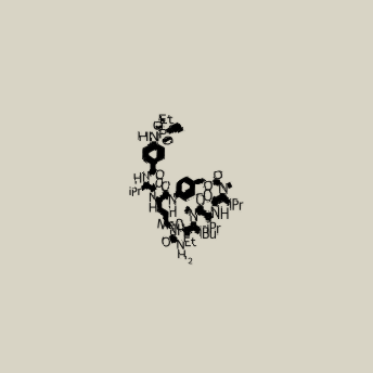 C#CP(=O)(Nc1ccc(C(=O)NC(C(=O)NC(CCCNC(N)=O)C(=O)Nc2ccc(COC(=O)N(C)C(C(=O)NC(C(=O)N(C)C(C(C)CC)C(CC)OC)C(C)C)C(C)C)cc2)C(C)C)cc1)OCC